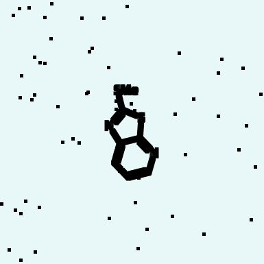 CSc1nc2cccnc2s1